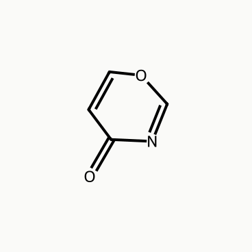 O=c1ccocn1